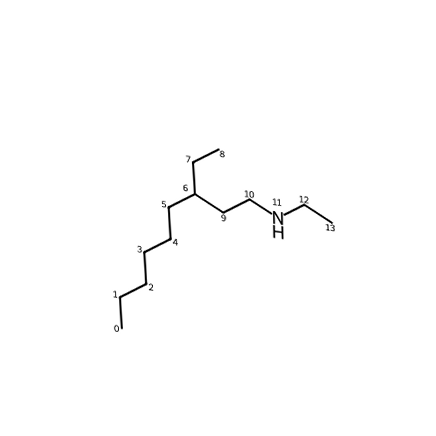 CCCCCCC(CC)CCNCC